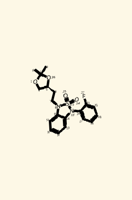 CC1(C)OC[C@H](CCN2c3ccccc3N(c3ccccc3F)S2(=O)=O)O1